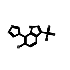 O=S(=O)(Cl)c1c[nH]c2c(-n3cnnc3)c(Cl)ccc12